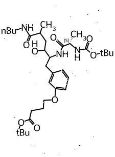 CCCCNC(=O)C(C)CC(O)C(Cc1cccc(OCCCC(=O)OC(C)(C)C)c1)NC(=O)[C@H](C)NC(=O)OC(C)(C)C